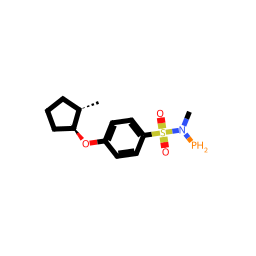 C[C@H]1CCC[C@@H]1Oc1ccc(S(=O)(=O)N(C)P)cc1